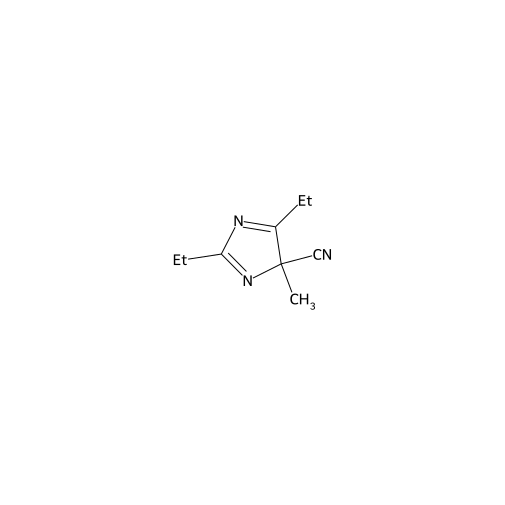 CCC1=NC(C)(C#N)C(CC)=N1